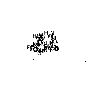 CC[C@@]1(O)C(=O)OCc2c1cc1n(c2=O)Cc2c-1nc1cc(F)c(C)c3c1c2[C@@H](NC(=O)[C@@H](C)CNC(=O)CNC(=O)[C@H](Cc1ccccc1)NC(=O)CNC(=O)CN)CC3